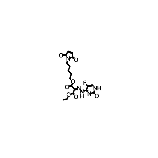 CCOC(=O)/C(=N\Nc1nc(=O)[nH]cc1F)C(=O)OCCCCCN1C(=O)C=CC1=O